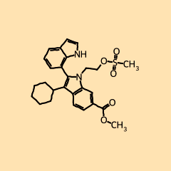 COC(=O)c1ccc2c(C3CCCCC3)c(-c3cccc4cc[nH]c34)n(CCOS(C)(=O)=O)c2c1